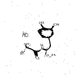 CCC[C@H](N)C(=O)N[C@@H](Cc1ccc(O)c(O)c1)C(=O)O.Cl